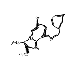 Cc1nc2c(/N=C\c3ccccc3)cc(Br)cn2c1C